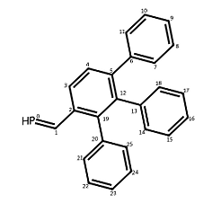 P=Cc1ccc(-c2ccccc2)c(-c2ccccc2)c1-c1ccccc1